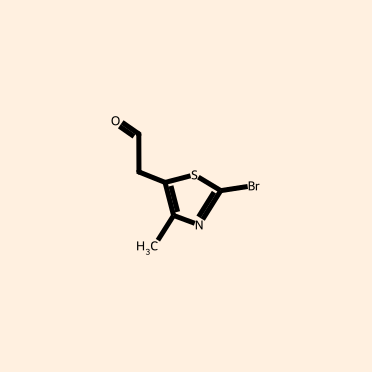 Cc1nc(Br)sc1CC=O